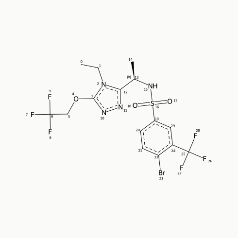 CCn1c(OCC(F)(F)F)nnc1[C@@H](C)NS(=O)(=O)c1ccc(Br)c(C(F)(F)F)c1